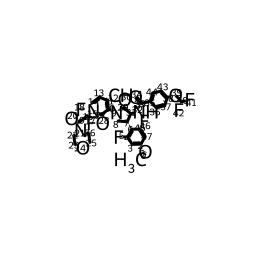 COc1cc(F)c([C@@H]2CN(c3c(C)ccn(C(F)(F)C(=O)N4CCOCC4)c3=O)C(=O)C2NC(=O)c2ccc(OC(F)F)cc2)c(F)c1